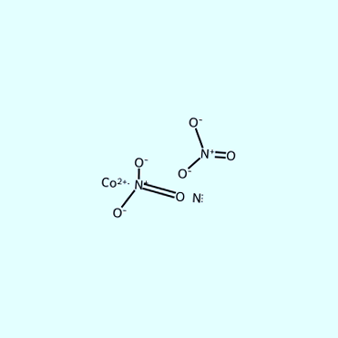 O=[N+]([O-])[O-].O=[N+]([O-])[O-].[Co+2].[N]